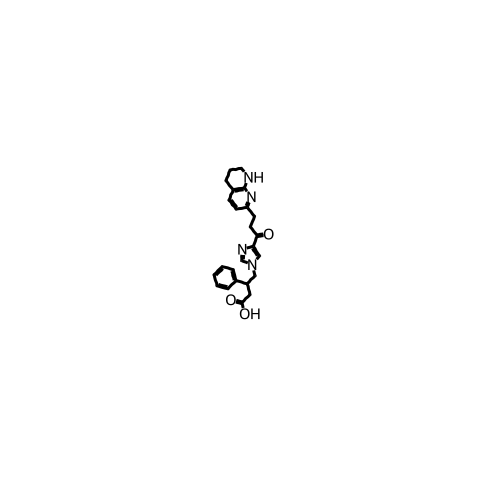 O=C(O)CC(Cn1cnc(C(=O)CCc2ccc3c(n2)NCCC3)c1)c1ccccc1